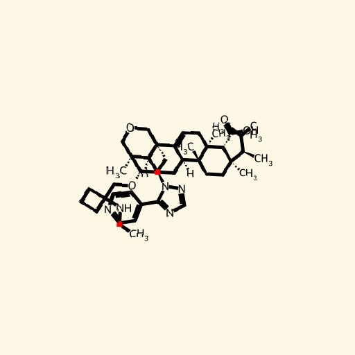 CCNC1(CO[C@H]2[C@H](n3ncnc3-c3ccncc3)C[C@@]34COC[C@@]2(C)[C@@H]3CC[C@H]2C4=CC[C@@]3(C)[C@H](C(=O)O)[C@@](C)([C@H](C)C(C)C)CC[C@]23C)CCC1